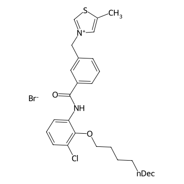 CCCCCCCCCCCCCCOc1c(Cl)cccc1NC(=O)c1cccc(C[n+]2csc(C)c2)c1.[Br-]